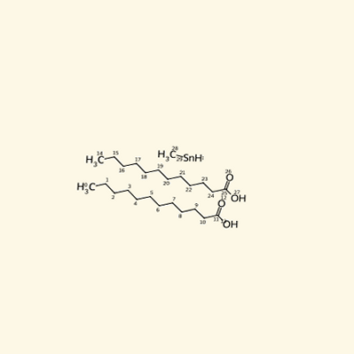 CCCCCCCCCCCC(=O)O.CCCCCCCCCCCC(=O)O.[CH3][SnH]